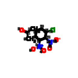 CC(C)=O.O=[N+]([O-])c1cccc(Cl)c1[N+](=O)[O-]